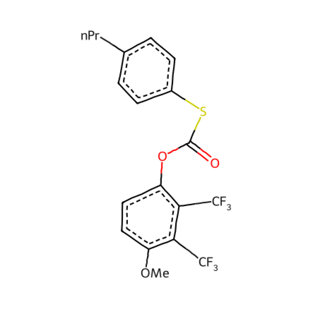 CCCc1ccc(SC(=O)Oc2ccc(OC)c(C(F)(F)F)c2C(F)(F)F)cc1